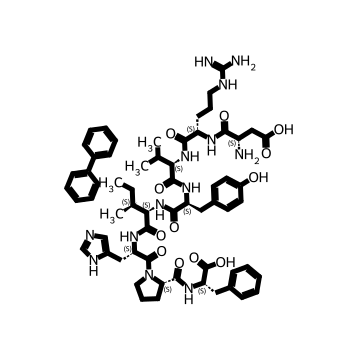 CC[C@H](C)[C@H](NC(=O)[C@H](Cc1ccc(O)cc1)NC(=O)[C@@H](NC(=O)[C@H](CCCNC(=N)N)NC(=O)[C@@H](N)CC(=O)O)C(C)C)C(=O)N[C@@H](Cc1cnc[nH]1)C(=O)N1CCC[C@H]1C(=O)N[C@@H](Cc1ccccc1)C(=O)O.c1ccc(-c2ccccc2)cc1